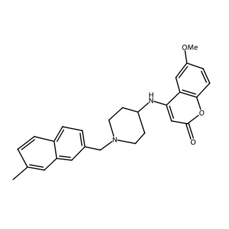 COc1ccc2oc(=O)cc(NC3CCN(Cc4ccc5ccc(C)cc5c4)CC3)c2c1